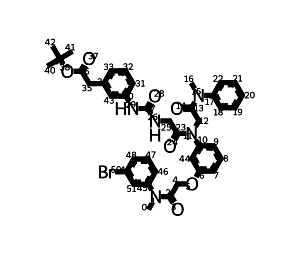 CN(C(=O)COc1cccc(N(CC(=O)N(C)c2ccccc2)C(=O)CNC(=O)Nc2cccc(CC(=O)OC(C)(C)C)c2)c1)c1cccc(Br)c1